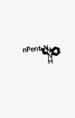 CCCCCc1cc2[nH]c3ccccc3n2n1